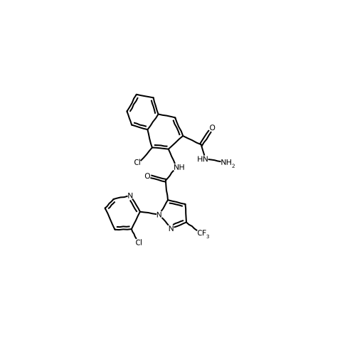 NNC(=O)c1cc2ccccc2c(Cl)c1NC(=O)c1cc(C(F)(F)F)nn1-c1ncccc1Cl